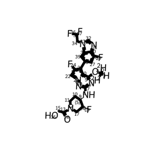 [2H]C([2H])([2H])Oc1nc(N[C@H]2CCN(C(=O)CO)C[C@H]2F)nn2cc(F)c(-c3cc(F)c4ncn(CC(F)F)c4c3)c12